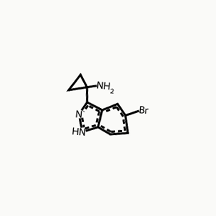 NC1(c2n[nH]c3ccc(Br)cc23)CC1